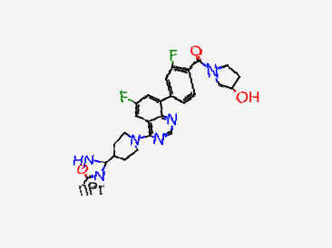 CCCC1=NC(C2CCN(c3ncnc4c(-c5ccc(C(=O)N6CC[C@@H](O)C6)c(F)c5)cc(F)cc34)CC2)NO1